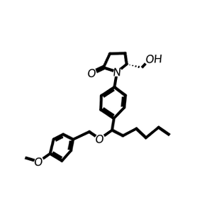 CCCCCC(OCc1ccc(OC)cc1)c1ccc(N2C(=O)CC[C@@H]2CO)cc1